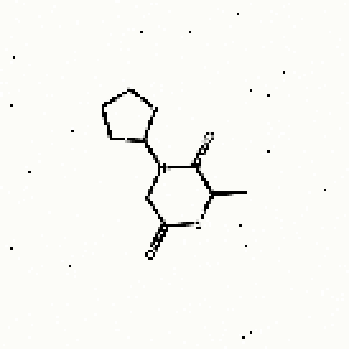 CC1SC(=O)CN(C2CCCC2)C1=O